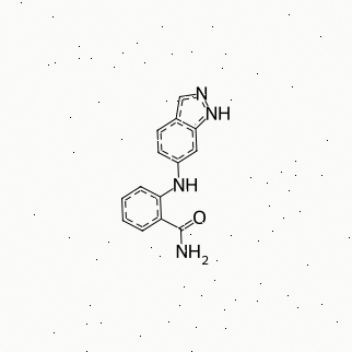 NC(=O)c1ccccc1Nc1ccc2cn[nH]c2c1